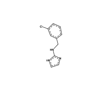 Clc1cccc(CNc2ncc[nH]2)c1